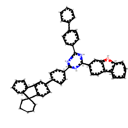 c1ccc(-c2ccc(-c3nc(-c4ccc(-c5ccc6c(c5)-c5ccccc5C65CCCCC5)cc4)nc(-c4ccc5c(c4)oc4ccccc45)n3)cc2)cc1